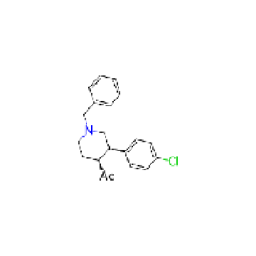 CC(=O)[C@H]1CCN(Cc2ccccc2)C[C@H]1c1ccc(Cl)cc1